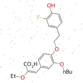 CCCCOc1cc(/C=C(/OCC)C(=O)O)ccc1OCCc1ccc(O)c(F)c1